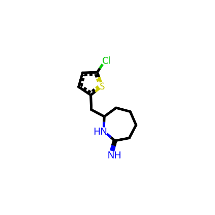 N=C1CCCCC(Cc2ccc(Cl)s2)N1